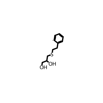 OCC(O)CSCCc1[c]cccc1